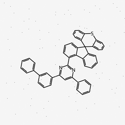 c1ccc(-c2cccc(-c3cc(-c4ccccc4)nc(-c4cccc5c4-c4ccccc4C54c5ccccc5Sc5ccccc54)n3)c2)cc1